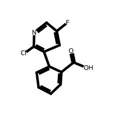 O=C(O)c1ccccc1-c1cc(F)cnc1Cl